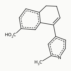 Cc1cc(C2=CCCc3ccc(C(=O)O)cc32)ccn1